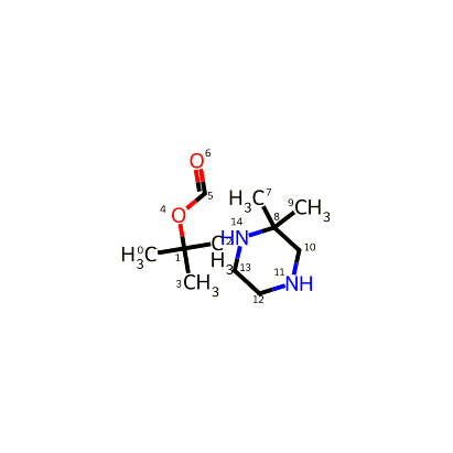 CC(C)(C)OC=O.CC1(C)CNCCN1